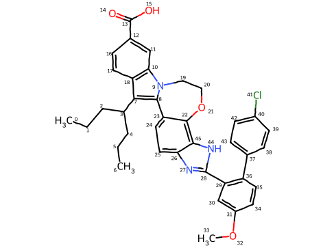 CCCC(CCC)c1c2n(c3cc(C(=O)O)ccc13)CCOc1c-2ccc2nc(-c3cc(OC)ccc3-c3ccc(Cl)cc3)[nH]c12